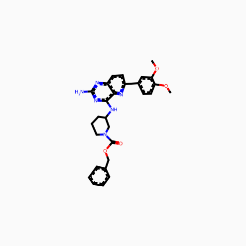 COc1ccc(-c2ccc3nc(N)nc(NC4CCCN(C(=O)OCc5ccccc5)C4)c3n2)cc1OC